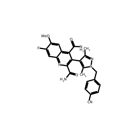 COc1cc2c(C(N)=O)c(-c3c(C)nn(Cc4ccc(C#N)cc4)c3C)c(C(N)=O)nc2cc1F